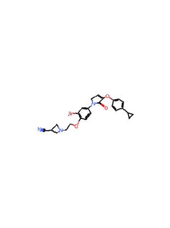 N#CC1CN(CCOc2ccc(N3CC=C(Oc4ccc(C5CC5)cc4)C3=O)cc2Br)C1